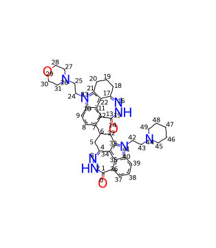 O=C1NN=C2CC(c3ccc4c5c3C(=O)NN=C3CCCc(c53)n4CCN3CCOCC3)Cc3c2c2c1cccc2n3CCN1CCCCC1